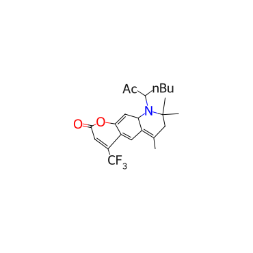 CCCCC(C(C)=O)N1C2C=c3oc(=O)cc(C(F)(F)F)c3=CC2=C(C)CC1(C)C